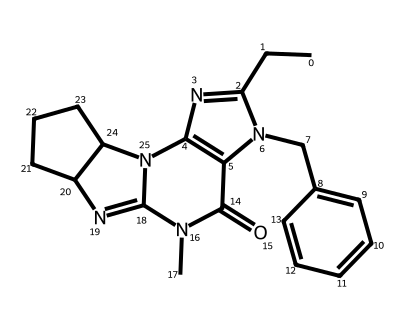 CCc1nc2c(n1Cc1ccccc1)C(=O)N(C)C1=NC3CCCC3N12